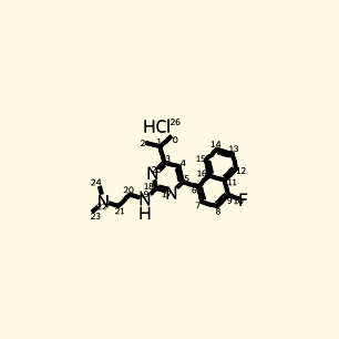 CC(C)c1cc(-c2ccc(F)c3ccccc23)nc(NCCN(C)C)n1.Cl